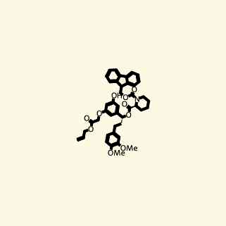 C=CCOC(=O)COc1cc(O)cc([C@@H](CCc2ccc(OC)c(OC)c2)OC(=O)[C@@H]2CCCCN2C(=O)OCC2c3ccccc3-c3ccccc32)c1